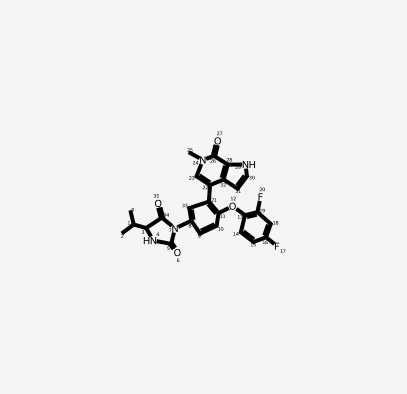 CC(C)C1NC(=O)N(c2ccc(Oc3ccc(F)cc3F)c(-c3cn(C)c(=O)c4[nH]ccc34)c2)C1=O